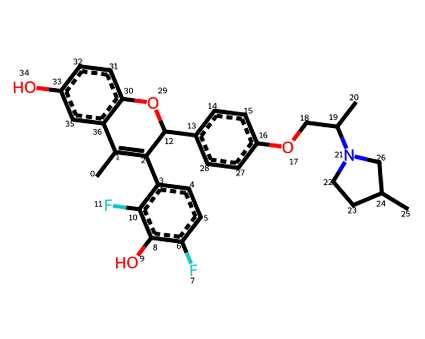 CC1=C(c2ccc(F)c(O)c2F)C(c2ccc(OCC(C)N3CCC(C)C3)cc2)Oc2ccc(O)cc21